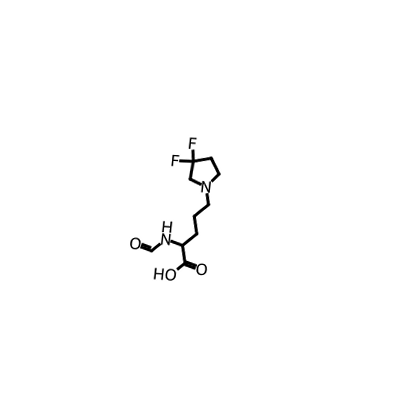 O=CNC(CCCN1CCC(F)(F)C1)C(=O)O